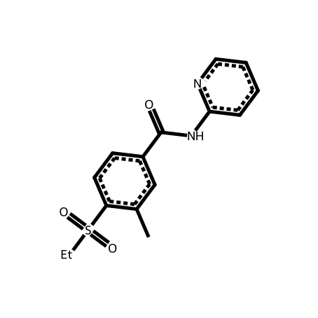 CCS(=O)(=O)c1ccc(C(=O)Nc2ccccn2)cc1C